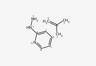 C=C(C)C.NNc1ccccn1